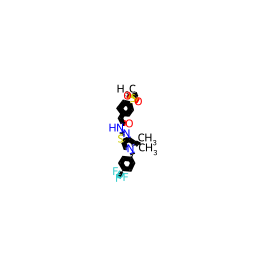 CCS(=O)(=O)c1ccc(CC(=O)Nc2nc3c(s2)CN(C[C@H]2CC[C@@H](C(F)(F)F)CC2)[C@H]3C(C)C)cc1